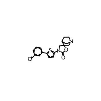 O=C1OC2(CN3CCC2CC3)CN1c1ccc(-c2cccc(Cl)c2)s1